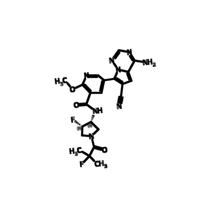 COc1ncc(-c2c(C#N)cc3c(N)ncnn23)cc1C(=O)N[C@@H]1CN(C(=O)C(C)(C)F)C[C@@H]1F